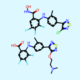 Cc1cc(-c2nsnc2Cl)ccc1Nc1c(C(=O)NO)cc(F)c(F)c1F.Cc1cc(-c2nsnc2OCCN(C)C)ccc1Nc1c(C(=O)O)cc(F)c(F)c1F